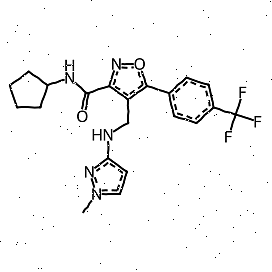 Cn1ccc(NCc2c(C(=O)NC3CCCC3)noc2-c2ccc(C(F)(F)F)cc2)n1